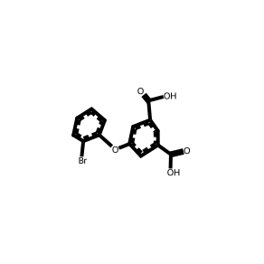 O=C(O)c1cc(Oc2ccccc2Br)cc(C(=O)O)c1